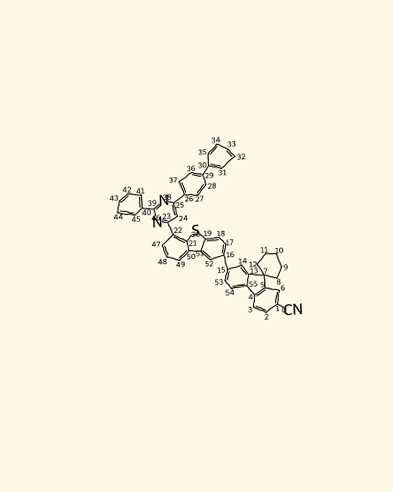 N#Cc1ccc2c(c1)C1(CCCCC1)c1cc(-c3ccc4sc5c(-c6cc(-c7ccc(-c8ccccc8)cc7)nc(-c7ccccc7)n6)cccc5c4c3)ccc1-2